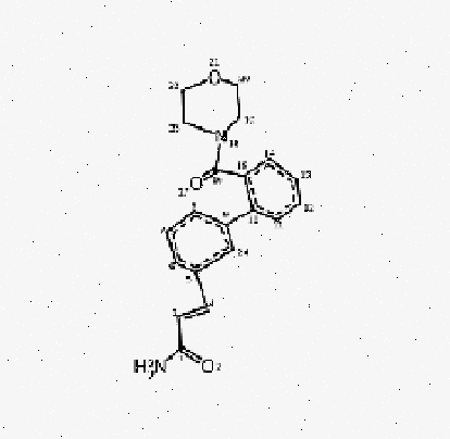 NC(=O)C=Cc1cccc(-c2ccccc2C(=O)N2CCOCC2)c1